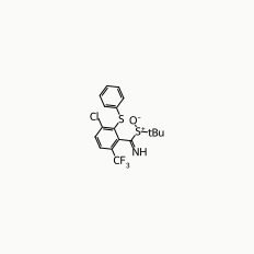 CC(C)(C)[S+]([O-])C(=N)c1c(C(F)(F)F)ccc(Cl)c1Sc1ccccc1